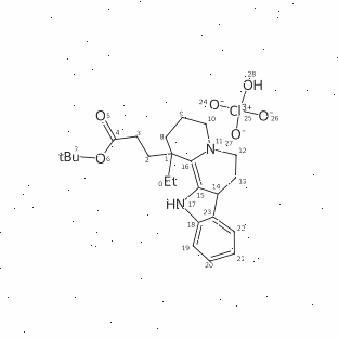 CCC1(CCC(=O)OC(C)(C)C)CCCN2CCC3C(=C21)Nc1ccccc13.[O-][Cl+3]([O-])([O-])O